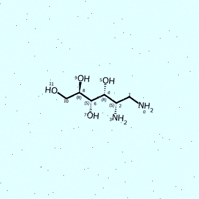 NC[C@H](N)[C@@H](O)[C@H](O)[C@H](O)CO